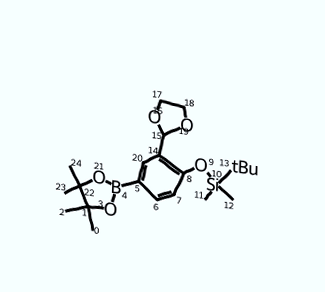 CC1(C)OB(c2ccc(O[Si](C)(C)C(C)(C)C)c(C3OCCO3)c2)OC1(C)C